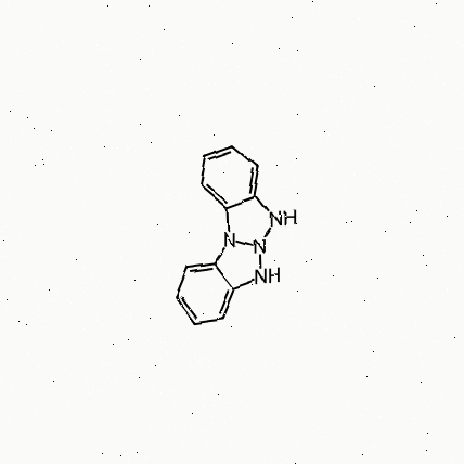 c1ccc2c(c1)NN1Nc3ccccc3N21